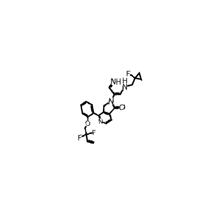 C=CC(F)(F)COc1ccccc1-c1nccc2c1CN(/C(C=N)=C/NCC1(F)CC1)C2=O